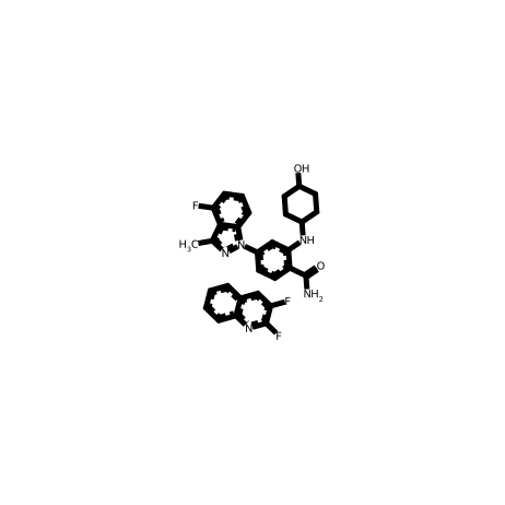 Cc1nn(-c2ccc(C(N)=O)c(NC3CCC(O)CC3)c2)c2cccc(F)c12.Fc1cc2ccccc2nc1F